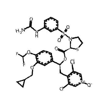 NC(=O)Nc1cccc(S(=O)(=O)N2CCS[C@H]2C(=O)O[C@@H](Cc2c(Cl)c[n+]([O-])cc2Cl)c2ccc(OC(F)F)c(OCC3CC3)c2)c1